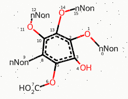 CCCCCCCCCOc1c(O)c(OC(=O)O)c(CCCCCCCCC)c(OCCCCCCCCC)c1OCCCCCCCCC